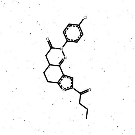 CCCC(=O)c1cc2c(s1)CCC1CC(=O)N(c3ccc(Cl)cc3)N=C21